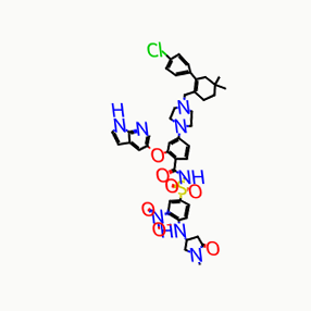 CN1CC(Nc2ccc(S(=O)(=O)NC(=O)c3ccc(N4CCN(CC5=C(c6ccc(Cl)cc6)CC(C)(C)CC5)CC4)cc3Oc3cnc4[nH]ccc4c3)cc2[N+](=O)[O-])CC1=O